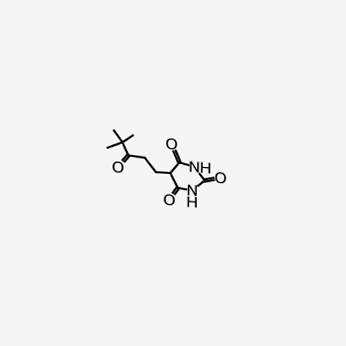 CC(C)(C)C(=O)CCC1C(=O)NC(=O)NC1=O